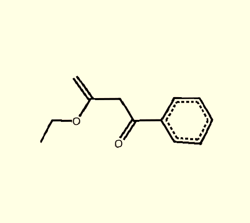 C=C(CC(=O)c1ccccc1)OCC